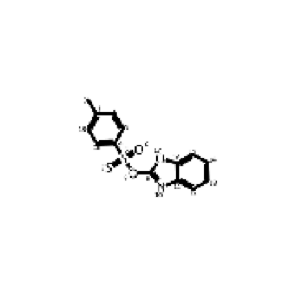 Cc1ccc(S(=O)(=S)Oc2nc3ccccc3o2)cc1